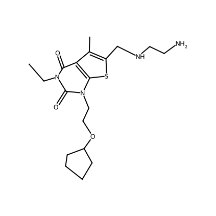 CCn1c(=O)c2c(C)c(CNCCN)sc2n(CCOC2CCCC2)c1=O